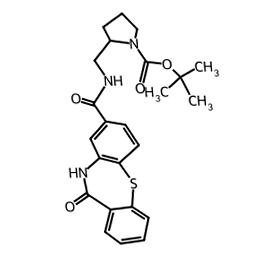 CC(C)(C)OC(=O)N1CCCC1CNC(=O)c1ccc2c(c1)NC(=O)c1ccccc1S2